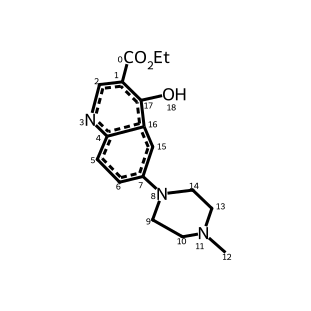 CCOC(=O)c1cnc2ccc(N3CCN(C)CC3)cc2c1O